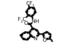 Cc1ccc(-c2cc(C(=O)Nc3ccc(C(F)(F)F)cc3C(F)(F)F)c3ccccc3n2)o1